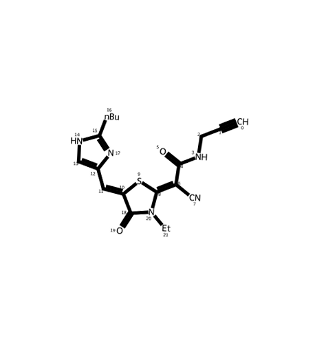 C#CCNC(=O)/C(C#N)=c1\s/c(=C\c2c[nH]c(CCCC)n2)c(=O)n1CC